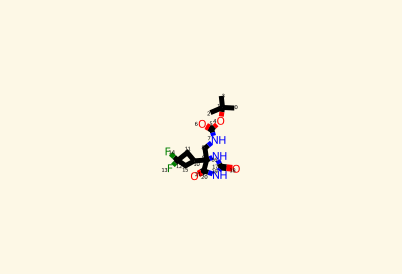 CC(C)(C)OC(=O)NCC1(C2CC(F)(F)C2)NC(=O)NC1=O